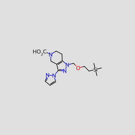 C[Si](C)(C)CCOCn1nc(-n2cccn2)c2c1CCN(C(=O)O)C2